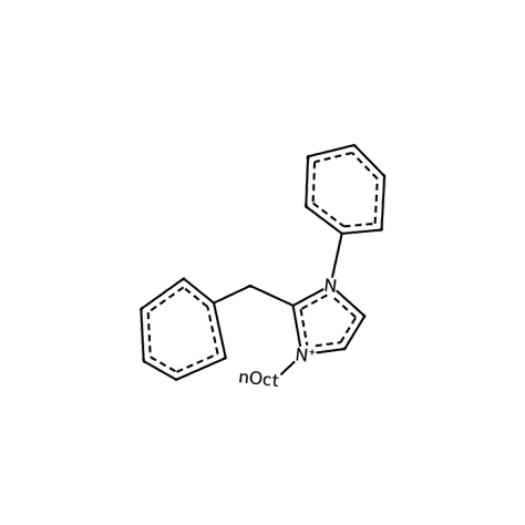 CCCCCCCC[n+]1ccn(-c2ccccc2)c1Cc1ccccc1